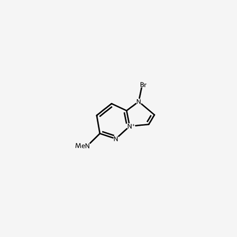 CNc1ccc2n(Br)cc[n+]2n1